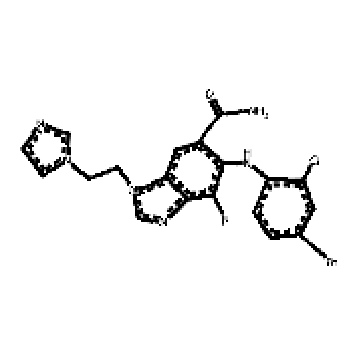 NC(=O)c1cc2c(ncn2CCn2ccnc2)c(F)c1Nc1ccc(Br)cc1Cl